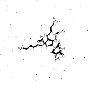 CCCCOC[C@@]1(C(=O)O)O[C@@H](n2cc(C)c(=O)[nH]c2=O)[C@@H](ONC)C1OCCCC